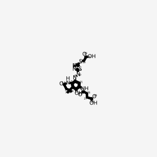 CC1(C)CC(=O)Nc2c(N=Nc3nnc(SCC(=O)O)s3)cc(NC(=O)CCC(=O)O)c(O)c21